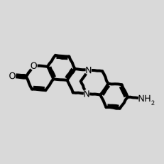 Nc1ccc2c(c1)CN1CN2Cc2c1ccc1oc(=O)ccc21